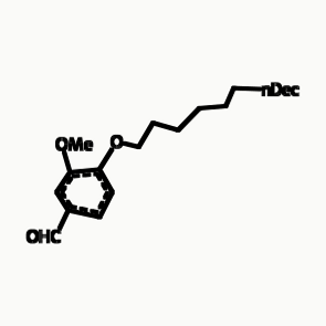 CCCCCCCCCCCCCCCCOc1ccc(C=O)cc1OC